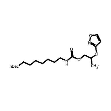 [CH2]C(COC(=O)NCCCCCCCCCCCCCCCCC)Oc1ccon1